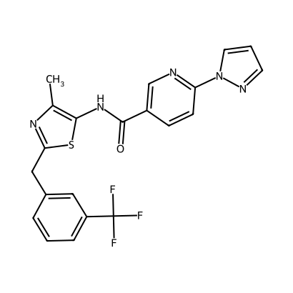 Cc1nc(Cc2cccc(C(F)(F)F)c2)sc1NC(=O)c1ccc(-n2cccn2)nc1